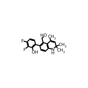 CC1=CC(C)(C)Nc2ccc(-c3ccc(F)c(F)c3O)c(CO)c21